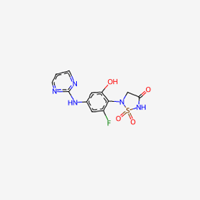 O=C1CN(c2c(O)cc(Nc3ncccn3)cc2F)S(=O)(=O)N1